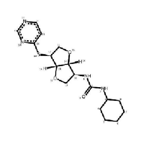 O=C(NC1CCCCC1)N[C@H]1CO[C@H]2[C@@H]1OC[C@@H]2Sc1ccncn1